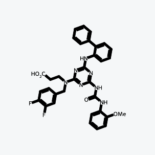 COc1ccccc1NC(=O)Nc1nc(Nc2ccccc2-c2ccccc2)nc(N(CCC(=O)O)Cc2ccc(F)c(F)c2)n1